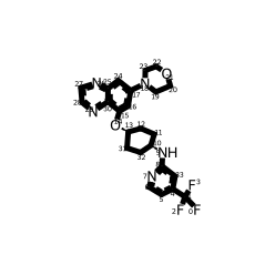 FC(F)(F)c1ccnc(N[C@H]2CC[C@@H](Oc3cc(N4CCOCC4)cc4nccnc34)CC2)c1